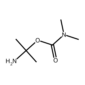 CN(C)C(=O)OC(C)(C)N